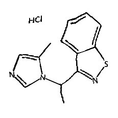 Cc1cncn1C(C)c1nsc2ccccc12.Cl